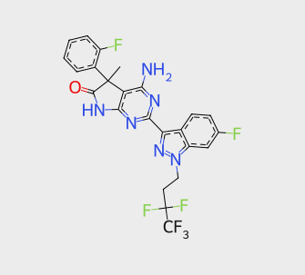 CC1(c2ccccc2F)C(=O)Nc2nc(-c3nn(CCC(F)(F)C(F)(F)F)c4cc(F)ccc34)nc(N)c21